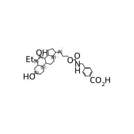 CC[C@@H]1C2C[C@H](O)CC[C@]2(C)C2CC[C@@]3(C)C(CCC3[C@H](C)CCOC(=O)NCc3ccc(C(=O)O)cc3)C2[C@@H]1O